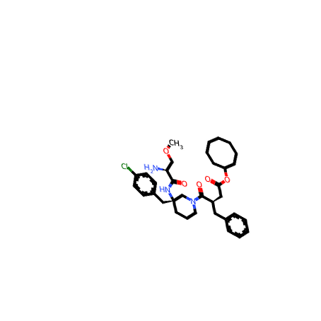 COC[C@H](N)C(=O)N[C@@]1(Cc2ccc(Cl)cc2)CCCN(C(=O)[C@@H](CC(=O)OC2CCCCCCC2)Cc2ccccc2)C1